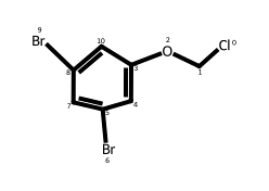 ClCOc1cc(Br)cc(Br)c1